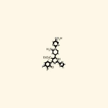 CCOC(=O)C1=C(C2CCN(c3ncc(C(=O)O)cn3)C(C)C2)NC(c2nccs2)=NC1c1ccc(F)c(F)c1Cl